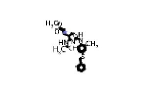 COC(=O)/C=C/c1cnc(Nc2ccc(SCc3ccccc3)cc2C)nc1NC(C)C